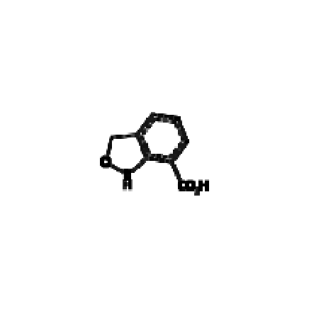 O=C(O)c1cccc2c1BOC2